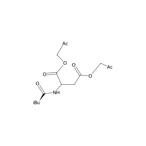 CC[C@H](C)C(=O)NC(CC(=O)OCC(C)=O)C(=O)OCC(C)=O